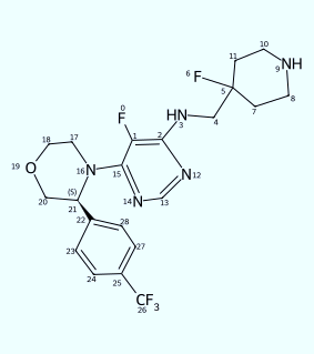 Fc1c(NCC2(F)CCNCC2)ncnc1N1CCOC[C@@H]1c1ccc(C(F)(F)F)cc1